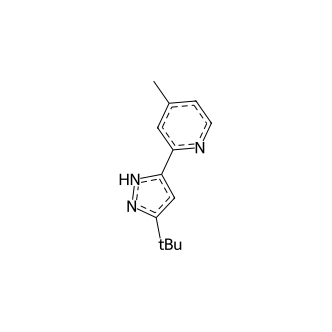 Cc1ccnc(-c2cc(C(C)(C)C)n[nH]2)c1